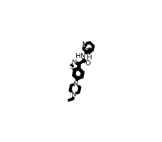 CCN1CCN(c2ccc3c(C(=O)N[C@@H]4CN5CCC4CC5)nsc3c2)CC1